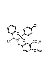 CCC(c1ccccc1)N(Cc1ccc(OC)c(C(=O)O)c1)S(=O)(=O)c1ccc(Cl)cc1